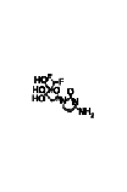 Nc1ccn([C@H]2CC(O)(O)[C@](CO)(C(F)F)O2)c(=O)n1